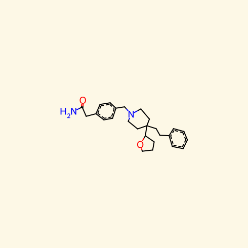 NC(=O)Cc1ccc(CN2CCC(CCc3ccccc3)(C3CCCO3)CC2)cc1